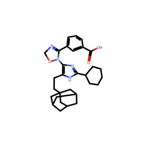 O=C(O)c1cccc(C2=NCON2c2nc(C3CCCCC3)[nH]c2CCC23CC4CC(CC(C4)C2)C3)c1